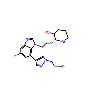 CC(C)CCn1cc(-c2cc(Cl)cc3ncn(CCC[C@H]4NCCC[C@@H]4O)c23)cn1